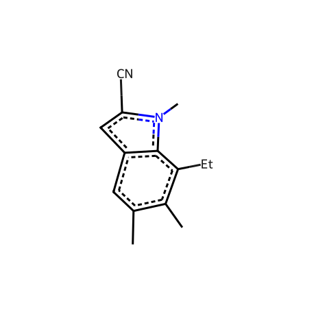 CCc1c(C)c(C)cc2cc(C#N)n(C)c12